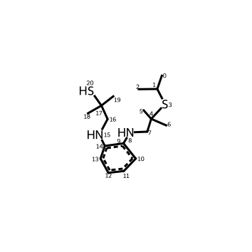 CC(C)SC(C)(C)CNc1ccccc1NCC(C)(C)S